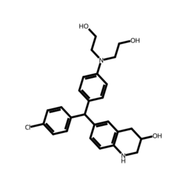 OCCN(CCO)c1ccc(C(c2ccc(Cl)cc2)c2ccc3c(c2)CC(O)CN3)cc1